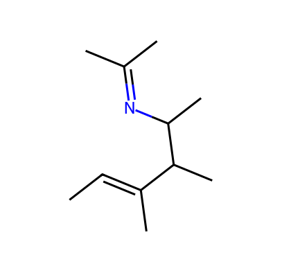 C/C=C(\C)C(C)C(C)N=C(C)C